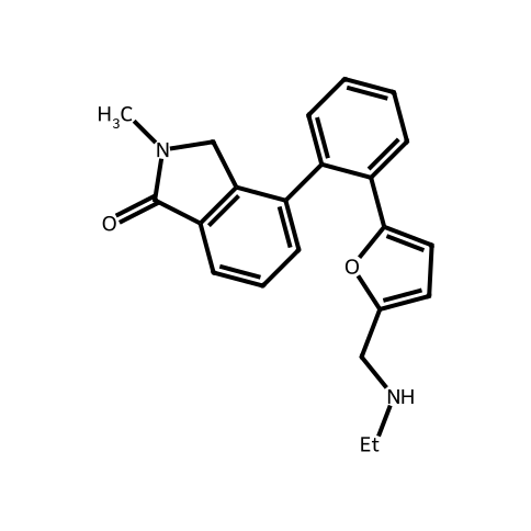 CCNCc1ccc(-c2ccccc2-c2cccc3c2CN(C)C3=O)o1